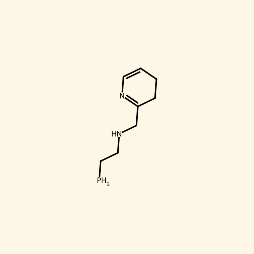 PCCNCC1=NC=CCC1